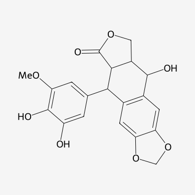 COc1cc(C2c3cc4c(cc3C(O)C3COC(=O)C23)OCO4)cc(O)c1O